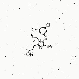 C=CCn1c(CCCO)nc(C(C)C)c1Sc1cc(Cl)cc(Cl)c1